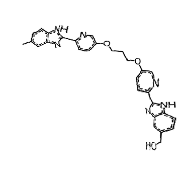 Cc1ccc2[nH]c(-c3ccc(OCCCOc4ccc(-c5nc6cc(CO)ccc6[nH]5)nc4)cn3)nc2c1